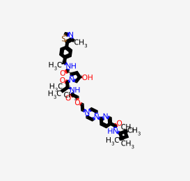 Cc1ncsc1-c1ccc([C@H](C)NC(=O)[C@@H]2C[C@@H](O)CN2C(=O)[C@@H](NC(=O)COCCN2CCN(c3ccc(C(=O)NC4C(C)(C)CC4(C)C)cn3)CC2)C(C)(C)C)cc1